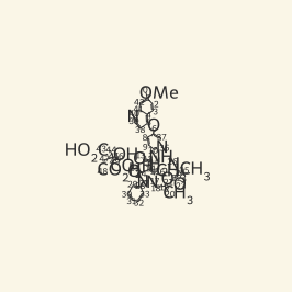 COc1ccc2c(Oc3ccc(NC(=O)c4c(C)n(CC(C)OC(=O)C(C)N)n(-c5ccccc5)c4=O)nc3)ccnc2c1.O=C(O)CC(O)(CC(=O)O)C(=O)O